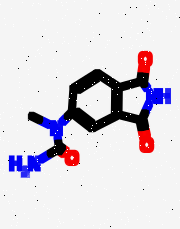 CN(C(N)=O)c1ccc2c(c1)C(=O)NC2=O